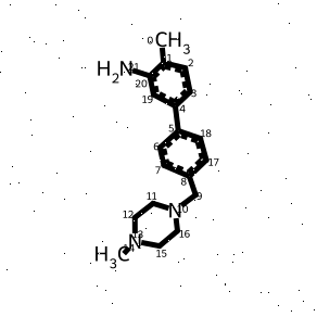 Cc1ccc(-c2ccc(CN3CCN(C)CC3)cc2)cc1N